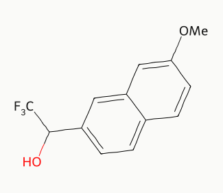 COc1ccc2ccc(C(O)C(F)(F)F)cc2c1